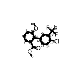 COC(=O)c1cccc(OC)c1-c1ccc(Cl)c(C(F)(F)F)c1